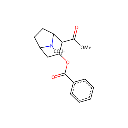 COC(=O)C1C(OC(=O)c2ccccc2)CC2CCC1N2C(=O)O